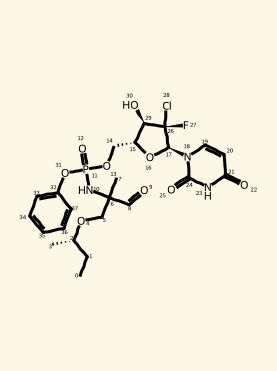 CC[C@H](C)OCC(C)(C=O)NP(=O)(OC[C@H]1O[C@H](n2ccc(=O)[nH]c2=O)[C@@](F)(Cl)[C@@H]1O)Oc1ccccc1